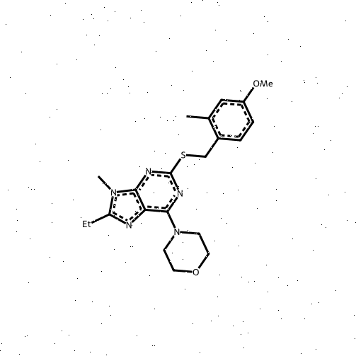 CCc1nc2c(N3CCOCC3)nc(SCc3ccc(OC)cc3C)nc2n1C